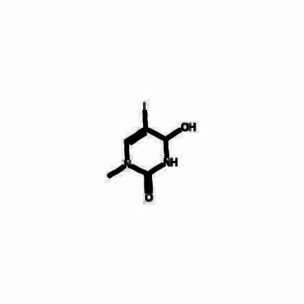 CN1C=C(I)C(O)NC1=O